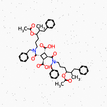 CC(=O)OC(CCCN(Cc1ccccc1)C(=O)[C@H]1[C@H](C(=O)O)[C@H](C(=O)N(CCCC(OC(C)=O)C(C)Cc2ccccc2)Cc2ccccc2)[C@H]1C(=O)O)C(C)Cc1ccccc1